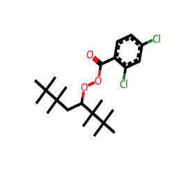 CC(C)(C)C(C)(C)CC(OOC(=O)c1ccc(Cl)cc1Cl)C(C)(C)C(C)(C)C